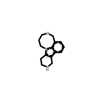 c1cc2c3c(c1)c1c(n3CCCOC2)CCNC1